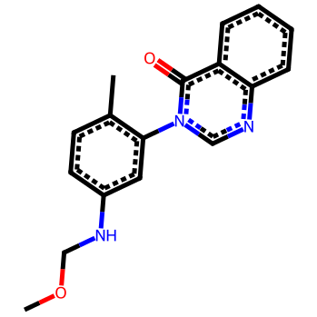 COCNc1ccc(C)c(-n2cnc3ccccc3c2=O)c1